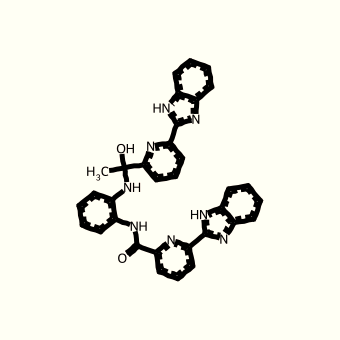 CC(O)(Nc1ccccc1NC(=O)c1cccc(-c2nc3ccccc3[nH]2)n1)c1cccc(-c2nc3ccccc3[nH]2)n1